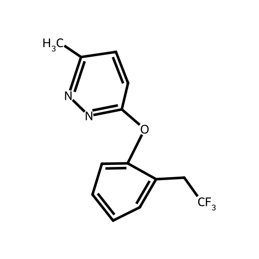 Cc1ccc(Oc2ccccc2CC(F)(F)F)nn1